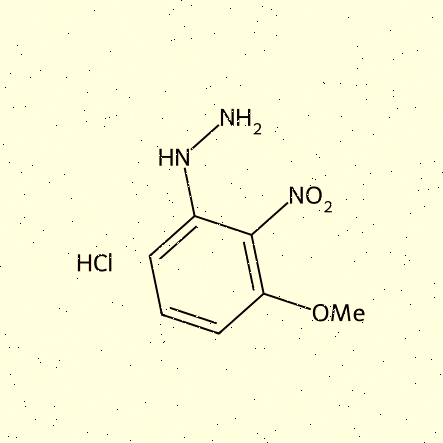 COc1cccc(NN)c1[N+](=O)[O-].Cl